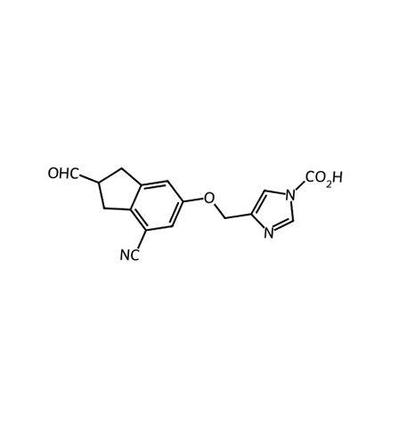 N#Cc1cc(OCc2cn(C(=O)O)cn2)cc2c1CC(C=O)C2